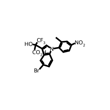 Cc1cc([N+](=O)[O-])ccc1-n1cc(C(O)(C(=O)O)C(F)(F)F)c2cc(Br)ccc21